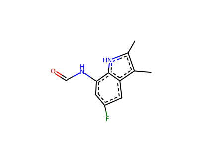 Cc1[nH]c2c(NC=O)cc(F)cc2c1C